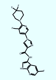 O=C(Nc1c[nH]c2ncc(F)cc12)c1cn(-c2cnc(N3CCC(F)(F)CC3)c(F)c2)cn1